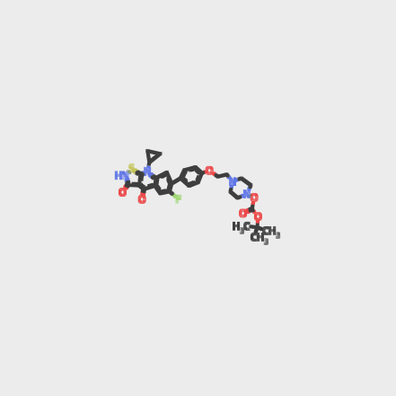 CC(C)(C)OC(=O)ON1CCN(CCOc2ccc(-c3cc4c(cc3F)c(=O)c3c(=O)[nH]sc3n4C3CC3)cc2)CC1